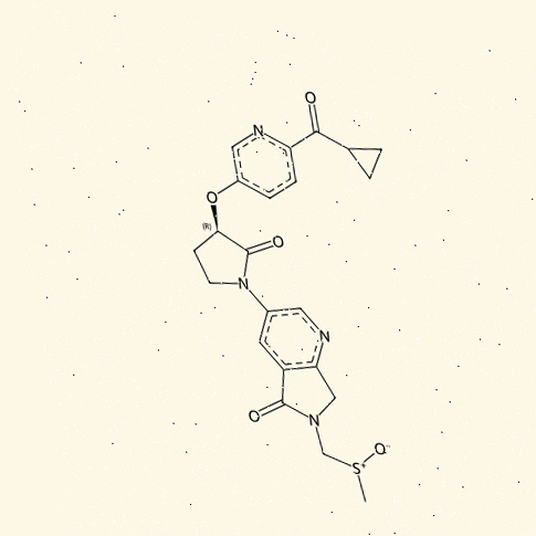 C[S+]([O-])CN1Cc2ncc(N3CC[C@@H](Oc4ccc(C(=O)C5CC5)nc4)C3=O)cc2C1=O